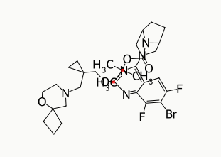 CC(C)(C)OC(=O)N1C2CCC1CN(c1nc(OCC3(CN4CCOC5(CCC5)C4)CC3)nc3c(F)c(Br)c(F)cc13)C2